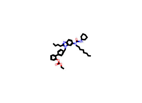 CCCCCCCCN(C(=O)NC1CCCCC1)c1ccc2nc(CCCC)n(Cc3ccc(-c4ccccc4OC(=O)OCC)cc3)c2c1